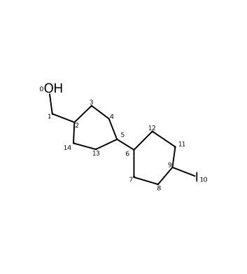 OCC1CCC(C2CCC(I)CC2)CC1